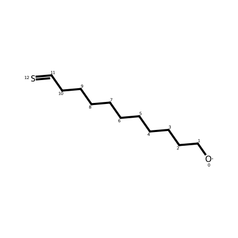 [O]CCCCCCCCCCC=S